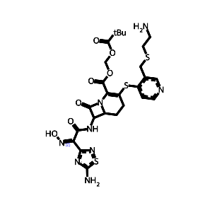 CC(C)(C)C(=O)OCOC(=O)C1=C(Sc2ccncc2CSCCN)CCC2C(NC(=O)/C(=N\O)c3nsc(N)n3)C(=O)N12